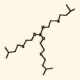 CC(C)CCSCCOB(OCCSCCC(C)C)OCCSCCC(C)C